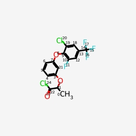 CC(Oc1cccc(Oc2c(F)cc(C(F)(F)F)cc2Cl)c1)C(=O)Cl